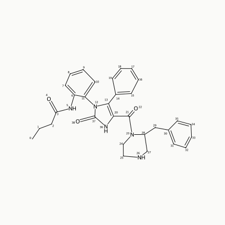 CCCC(=O)Nc1ccccc1-n1c(-c2ccccc2)c(C(=O)N2CCNCC2Cc2ccccc2)[nH]c1=O